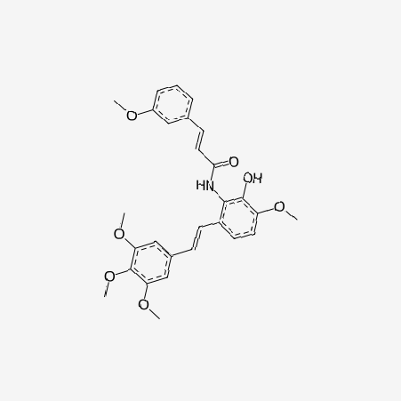 COc1cccc(/C=C/C(=O)Nc2c(C=Cc3cc(OC)c(OC)c(OC)c3)ccc(OC)c2O)c1